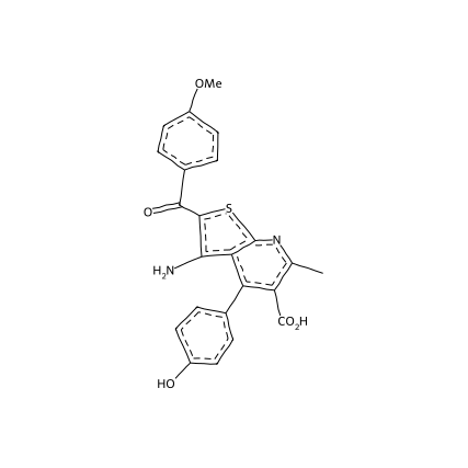 COc1ccc(C(=O)c2sc3nc(C)c(C(=O)O)c(-c4ccc(O)cc4)c3c2N)cc1